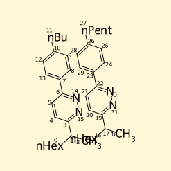 CCCCCCC(C)c1ccc(-c2ccc(CCCC)cc2)nn1.CCCCCCC(C)c1ccc(-c2ccc(CCCCC)cc2)nn1